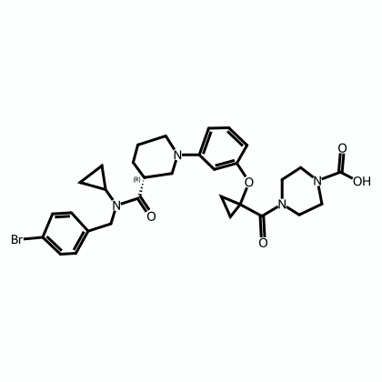 O=C(O)N1CCN(C(=O)C2(Oc3cccc(N4CCC[C@@H](C(=O)N(Cc5ccc(Br)cc5)C5CC5)C4)c3)CC2)CC1